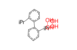 CC(C)c1ccccc1-c1ccccc1C(C)C.OO.OO